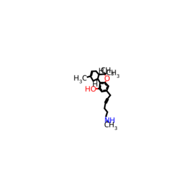 CNCCCC#CCc1cc(O)c2c(c1)OC(C)(C)[C@@H]1CC=C(C)C[C@@H]21